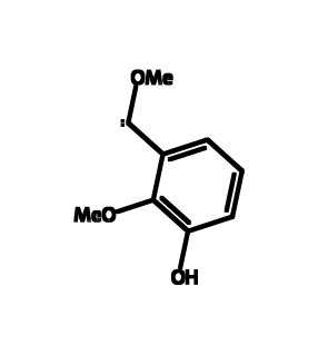 CO[C]c1cccc(O)c1OC